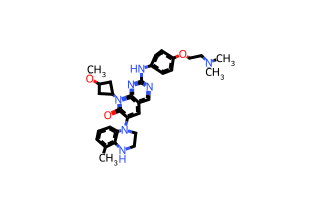 COC1CC(n2c(=O)c(N3CCNc4c(C)cccc43)cc3cnc(Nc4ccc(OCCN(C)C)cc4)nc32)C1